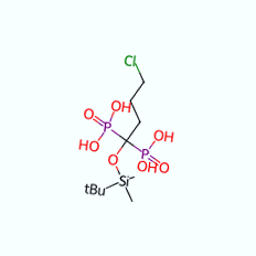 CC(C)(C)[Si](C)(C)OC(CCCCl)(P(=O)(O)O)P(=O)(O)O